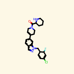 O=C(C1CCCCN1)N1CC=C(c2ccc3cnn(CC4C=CC(Cl)=CC4F)c3c2)CC1